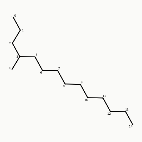 [CH2]CCC(C)CCCCCCCCCC